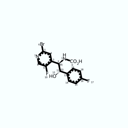 O=C(O)N[C@H](c1cc(Br)ncc1F)[C@@H](O)c1ccc(F)cc1